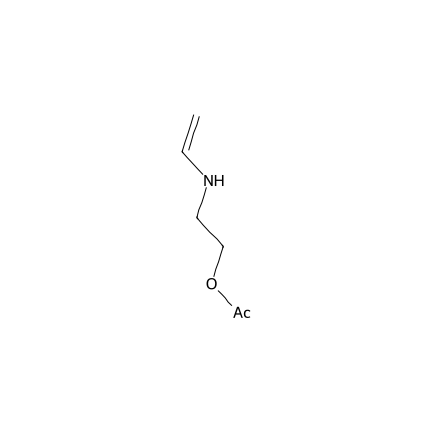 C=CNCCOC(C)=O